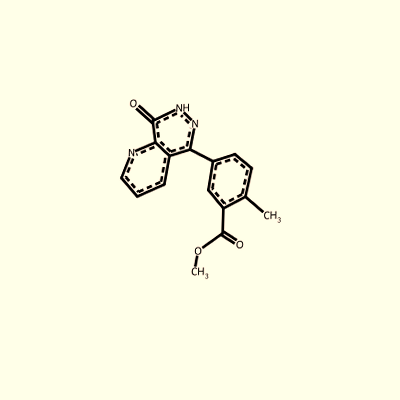 COC(=O)c1cc(-c2n[nH]c(=O)c3ncccc23)ccc1C